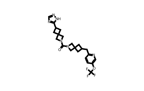 O=C(N1CC2(CC(Cc3ccc(OC(F)(F)F)cn3)C2)C1)N1CC2(CC(c3ncn[nH]3)C2)C1